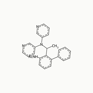 CC(=O)Nc1cccc(-c2ccccc2)c1C(C)N(c1cccnc1)c1cccnc1